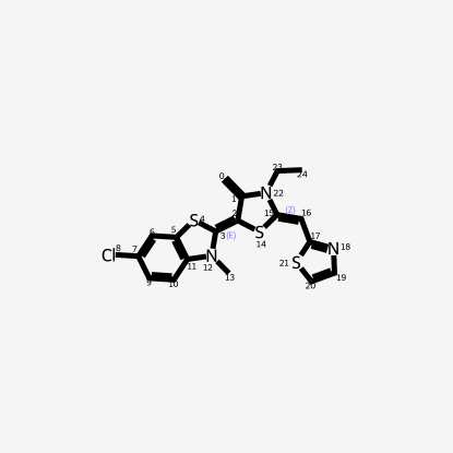 C=C1/C(=C2\Sc3cc(Cl)ccc3N2C)S/C(=C\c2nccs2)N1CC